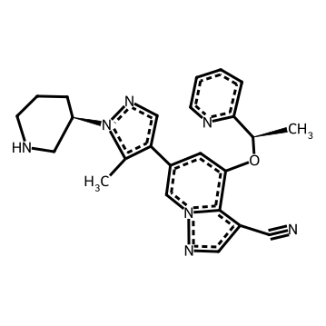 Cc1c(-c2cc(O[C@H](C)c3ccccn3)c3c(C#N)cnn3c2)cnn1[C@@H]1CCCNC1